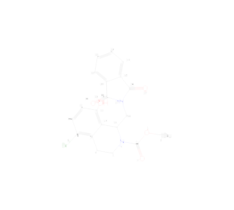 CC(C)(C)OC(=O)N1CCc2c(Br)ccc(O)c2C1CN1C(=O)c2ccccc2C1=O